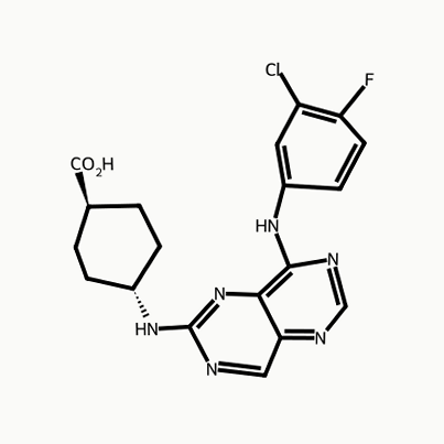 O=C(O)[C@H]1CC[C@H](Nc2ncc3ncnc(Nc4ccc(F)c(Cl)c4)c3n2)CC1